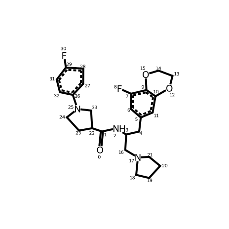 O=C(NC(Cc1cc(F)c2c(c1)OCCO2)CN1CCCC1)C1CCN(c2ccc(F)cc2)C1